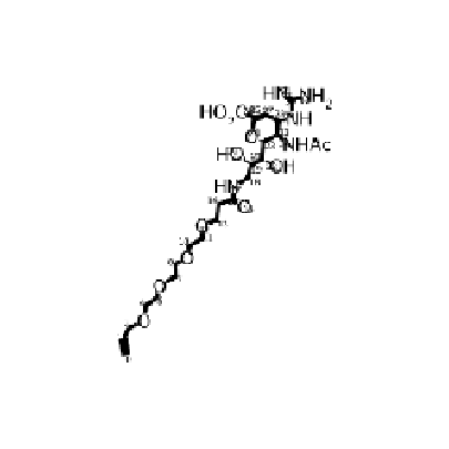 C#CCOCCOCCOCCOCCC(=O)NC[C@@H](O)[C@@H](O)[C@@H]1OC(C(=O)O)=C[C@H](NC(=N)N)C1NC(C)=O